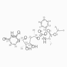 CC(C)OC(=O)[C@H](C)N[P@@](=O)(Oc1ccccc1)O[C@@H](C)[C@H]1O[C@@H](n2ccc(=O)[nH]c2=O)[C@](C)(O)[C@@H]1O